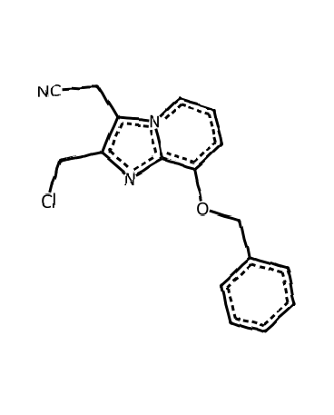 N#CCc1c(CCl)nc2c(OCc3ccccc3)cccn12